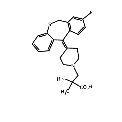 CC(C)(CN1CCC(=C2c3ccc(F)cc3CSc3ccccc32)CC1)C(=O)O